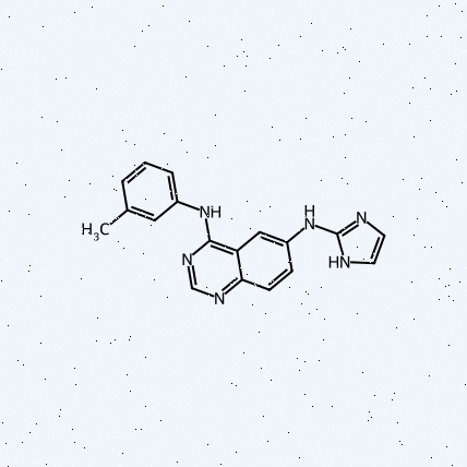 Cc1cccc(Nc2ncnc3ccc(Nc4ncc[nH]4)cc23)c1